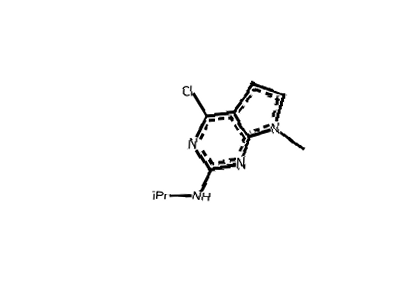 CC(C)Nc1nc(Cl)c2ccn(C)c2n1